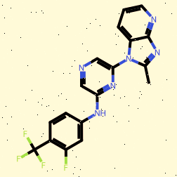 Cc1nc2ncccc2n1-c1cncc(Nc2ccc(C(F)(F)F)c(F)c2)n1